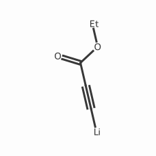 [Li][C]#CC(=O)OCC